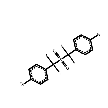 O=S(=O)(C(I)(I)c1ccc(Br)cc1)C(I)(I)c1ccc(Br)cc1